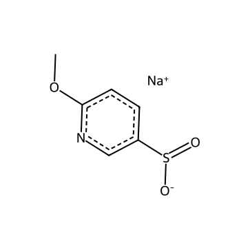 COc1ccc(S(=O)[O-])cn1.[Na+]